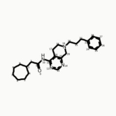 O=C(CC1CCCCCC1)Nc1ncnc2c1CCN(CCCc1ccccc1)C2